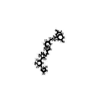 CC1CC2CC(C)CC(CNCc3ccc4nc(Cn5cc(-c6cncc(-n7cccc7)c6)nn5)cn4c3)(C1)C2